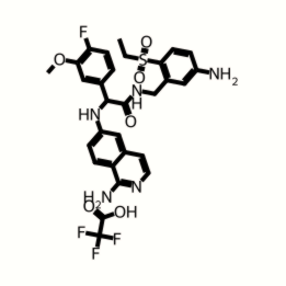 CCS(=O)(=O)c1ccc(N)cc1CNC(=O)C(Nc1ccc2c(N)nccc2c1)c1ccc(F)c(OC)c1.O=C(O)C(F)(F)F